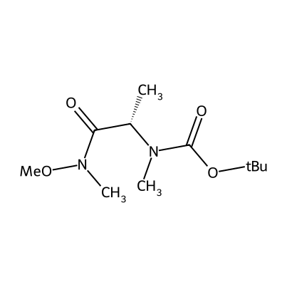 CON(C)C(=O)[C@H](C)N(C)C(=O)OC(C)(C)C